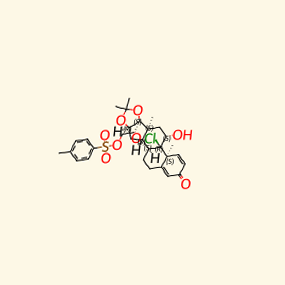 Cc1ccc(S(=O)(=O)OCC(=O)[C@@]23OC(C)(C)O[C@@H]2C[C@H]2[C@@H]4CCC5=CC(=O)C=C[C@]5(C)[C@@]4(Cl)[C@@H](O)C[C@@]23C)cc1